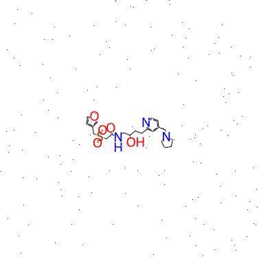 O=C(CS(=O)(=O)Cc1ccoc1)NCC(O)CCc1cc(CN2CCCC2)ccn1